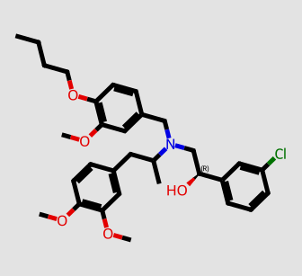 CCCCOc1ccc(CN(C[C@H](O)c2cccc(Cl)c2)C(C)Cc2ccc(OC)c(OC)c2)cc1OC